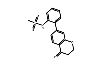 CS(=O)(=O)Nc1ccccc1-c1ccc2c(c1)OCCC2=O